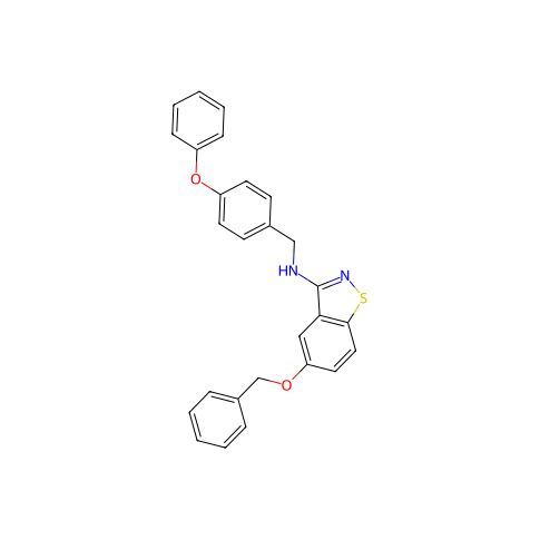 c1ccc(COc2ccc3snc(NCc4ccc(Oc5ccccc5)cc4)c3c2)cc1